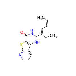 C/C=C\C=C(/CC)C1NC(=O)c2sc3ncccc3c2N1